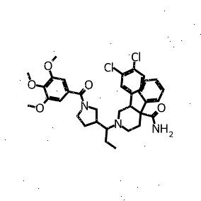 CCC(C1CCN(C(=O)c2cc(OC)c(OC)c(OC)c2)C1)N1CCC(C(N)=O)(c2ccccc2)C(c2ccc(Cl)c(Cl)c2)C1